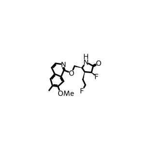 COc1cc2c(OC[C@H]3NC(=O)[C@@H](F)[C@H]3CCF)nccc2cc1C